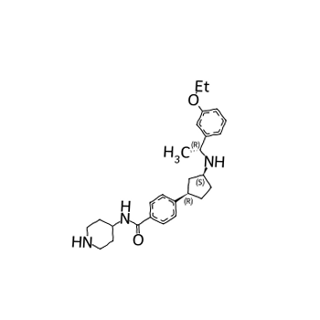 CCOc1cccc([C@@H](C)N[C@H]2CC[C@@H](c3ccc(C(=O)NC4CCNCC4)cc3)C2)c1